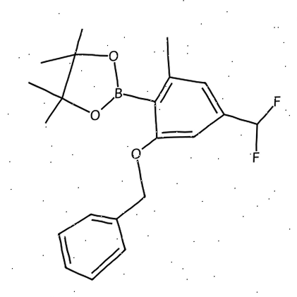 Cc1cc(C(F)F)cc(OCc2ccccc2)c1B1OC(C)(C)C(C)(C)O1